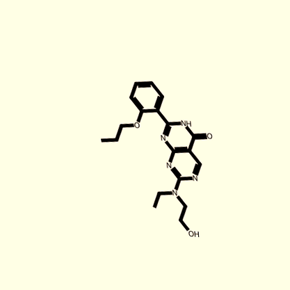 CCCOc1ccccc1-c1nc2nc(N(CC)CCO)ncc2c(=O)[nH]1